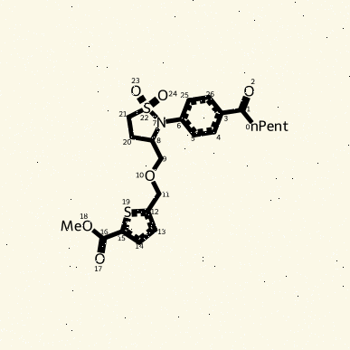 CCCCCC(=O)c1ccc(N2C(COCc3ccc(C(=O)OC)s3)CCS2(=O)=O)cc1